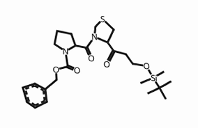 CC(C)(C)[Si](C)(C)OCCC(=O)C1CSCN1C(=O)C1CCCN1C(=O)OCc1ccccc1